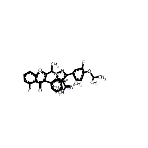 C=Nc1c(/C(N)=N\C)c(-c2ccc(OC(C)C)c(F)c2)nn1C(C)c1oc2cccc(F)c2c(=O)c1-c1cccc(F)c1